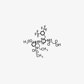 CCOC(=O)N1c2ccc(OC)nc2[C@@H](Nc2ncc(NC(=O)CCC(=O)O)c(Cc3cc(C(F)(F)F)cc(C(F)(F)F)c3)n2)C[C@H]1CC